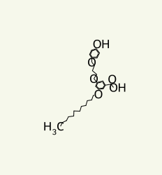 CCCCCCCCCCCCOc1cc(OCCCOc2ccc(O)cc2)cc(C(=O)O)c1